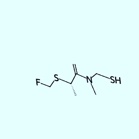 C=C([C@H](C)SCF)N(C)CS